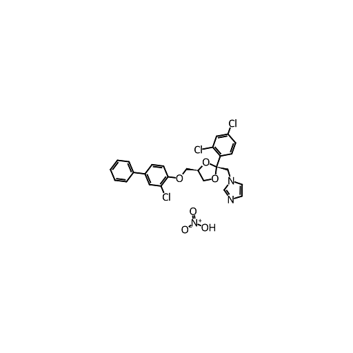 Clc1ccc([C@]2(Cn3ccnc3)OC[C@@H](COc3ccc(-c4ccccc4)cc3Cl)O2)c(Cl)c1.O=[N+]([O-])O